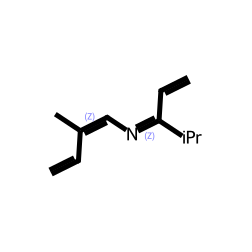 C=C/C(C)=C\N=C(/C=C)C(C)C